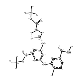 CNC(=O)c1ccc(C)c(Nc2nc(N[C@@H]3CCN(C(=O)OC(C)(C)C)C3)cc(N(C)CC(C)(C)C)n2)c1